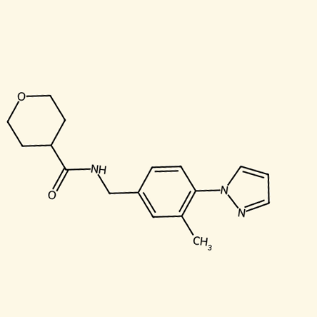 Cc1cc(CNC(=O)C2CCOCC2)ccc1-n1cccn1